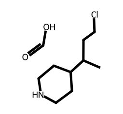 CC(CCCl)C1CCNCC1.O=CO